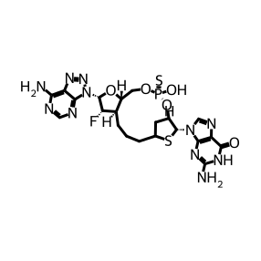 Nc1nc2c(ncn2[C@@H]2SC3CCC[C@H]4[C@H](F)[C@H](n5nnc6c(N)ncnc65)O[C@@H]4COP(O)(=S)O[C@@H]2C3)c(=O)[nH]1